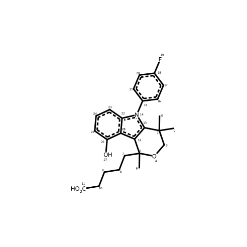 CC1(C)COC(C)(CCCCC(=O)O)c2c1n(-c1ccc(F)cc1)c1cccc(O)c21